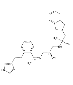 C[C@@H](OC[C@H](O)CNC(C)(C)CC1Cc2ccccc2C1)c1ccccc1CCc1nn[nH]n1